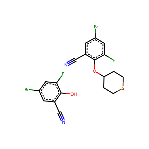 N#Cc1cc(Br)cc(F)c1O.N#Cc1cc(Br)cc(F)c1OC1CCSCC1